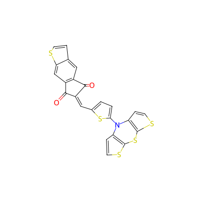 O=C1/C(=C\c2ccc(N3c4ccsc4Sc4sccc43)s2)C(=O)c2cc3sccc3cc21